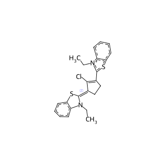 CCN1/C(=C2\CCC(c3sc4ccccc4[n+]3CC)=C2Cl)Sc2ccccc21